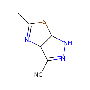 CC1=NC2C(C#N)=NNC2S1